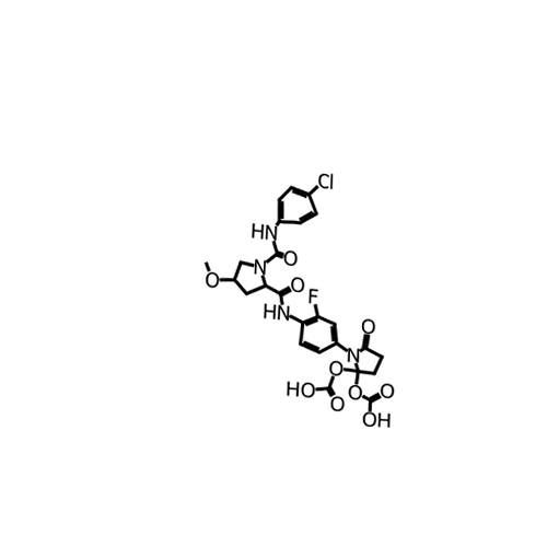 COC1CC(C(=O)Nc2ccc(N3C(=O)CCC3(OC(=O)O)OC(=O)O)cc2F)N(C(=O)Nc2ccc(Cl)cc2)C1